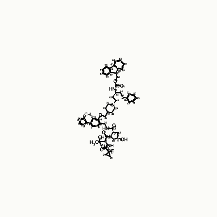 Cc1ncsc1-c1ccc(CNC(=O)[C@@H]2C[C@@H](O)CN2C(=O)[C@@H](NC(=O)C2(F)CC2)C(C)(C)C)c(OCC2CCN(CC[C@H](CSc3ccccc3)NC(=O)OCC3c4ccccc4-c4ccccc43)CC2)c1